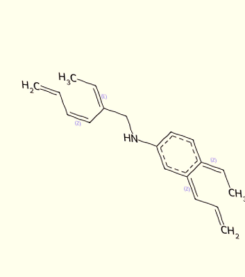 C=C/C=C\C(=C/C)CNc1ccc(=C/C)/c(=C\C=C)c1